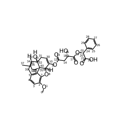 COc1ccc2c3c1O[C@H]1C(OC(=O)C[C@H](O)C(=O)O[C@H](C(=O)O)c4ccccc4)=CC[C@@]4(O)[C@@H](C2)C(C)CC[C@]314